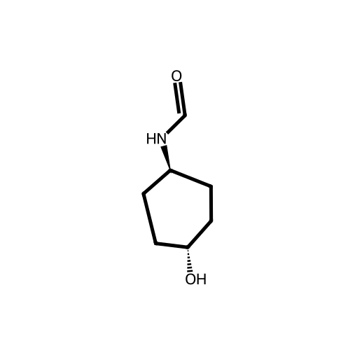 O=CN[C@H]1CC[C@H](O)CC1